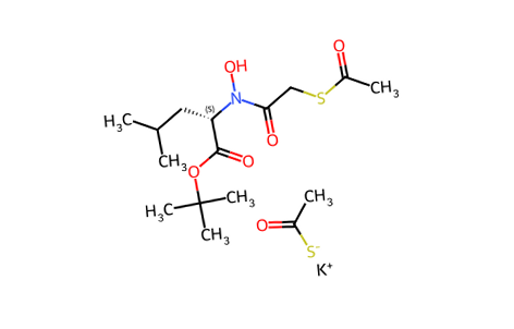 CC(=O)SCC(=O)N(O)[C@@H](CC(C)C)C(=O)OC(C)(C)C.CC(=O)[S-].[K+]